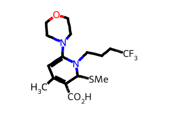 CSC1C(C(=O)O)=C(C)C=C(N2CCOCC2)N1CCCC(F)(F)F